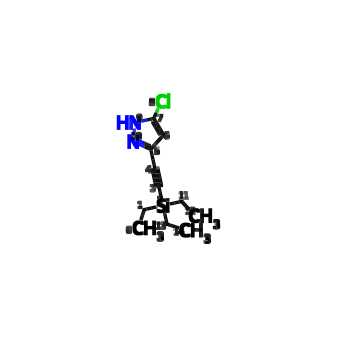 CC[Si](C#Cc1cc(Cl)[nH]n1)(CC)CC